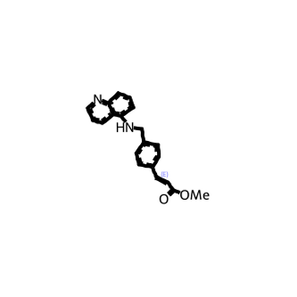 COC(=O)/C=C/c1ccc(CNc2cccc3ncccc23)cc1